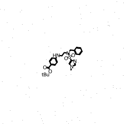 Cn1cnc(S(=O)(=O)N(CCNc2ccc(C(=O)OC(C)(C)C)cc2)Cc2ccccc2)c1